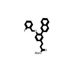 COC(=O)CCc1ccc(OCc2ccccc2F)c(-c2ccc3ccccc3c2)c1